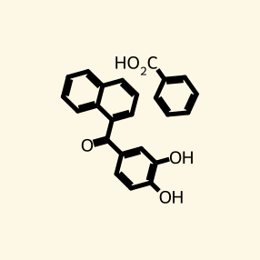 O=C(O)c1ccccc1.O=C(c1ccc(O)c(O)c1)c1cccc2ccccc12